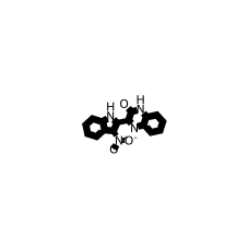 O=c1[nH]c2ccccc2nc1-c1[nH]c2ccccc2c1[N+](=O)[O-]